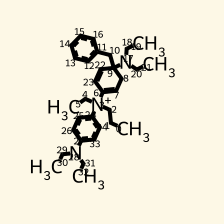 CCC[N+](CC)(C1=CCC(Cc2ccccc2)(N(CC)CC)C=C1)c1ccc(N(CC)CC)cc1